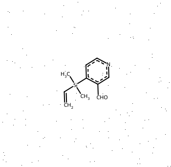 C=C[Si](C)(C)c1ccncc1C=O